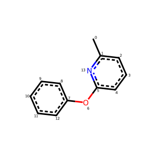 Cc1cccc(Oc2ccccc2)n1